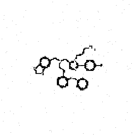 CCCCn1c(CN(CCc2ccccc2Oc2ccccc2)Cc2ccc3c(c2)OCO3)cnc1-c1ccc(F)cc1